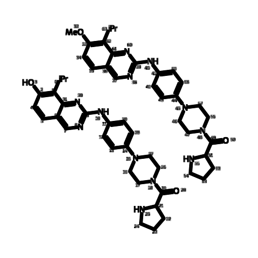 CC(C)c1c(O)ccc2cnc(Nc3ccc(N4CCN(C(=O)C5CCCN5)CC4)cc3)nc12.COc1ccc2cnc(Nc3ccc(N4CCN(C(=O)C5CCCN5)CC4)cc3)nc2c1C(C)C